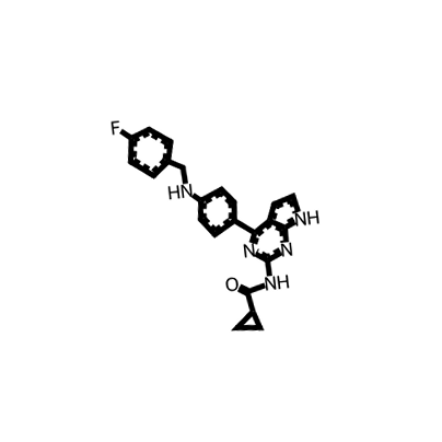 O=C(Nc1nc(-c2ccc(NCc3ccc(F)cc3)cc2)c2cc[nH]c2n1)C1CC1